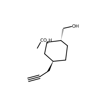 C#CC[C@H]1CC[C@H](CO)CC1.CC(=O)O